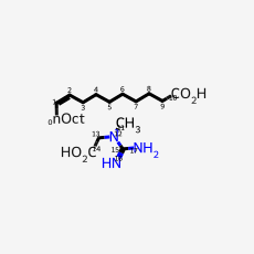 CCCCCCCC/C=C\CCCCCCCC(=O)O.CN(CC(=O)O)C(=N)N